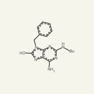 CCC(C)Nc1nc(N)c2nc(O)n(Cc3ccccc3)c2n1